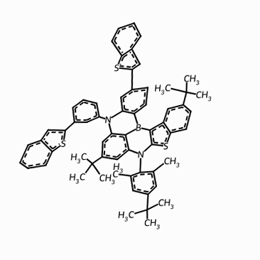 Cc1cc(C(C)(C)C)cc(C)c1N1c2cc(C(C)(C)C)cc3c2B(c2ccc(-c4cc5ccccc5s4)cc2N3c2cccc(-c3cc4ccccc4s3)c2)c2c1sc1ccc(C(C)(C)C)cc21